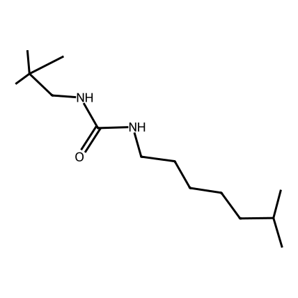 CC(C)CCCCCNC(=O)NCC(C)(C)C